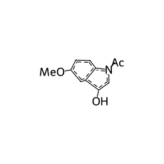 COc1ccc2c(c1)c(O)cn2C(C)=O